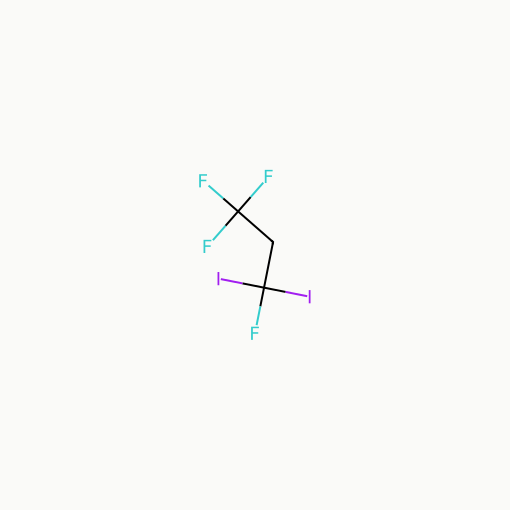 FC(F)(F)CC(F)(I)I